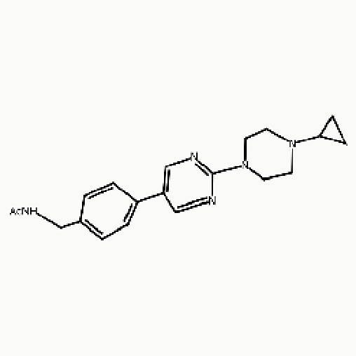 CC(=O)NCc1ccc(-c2cnc(N3CCN(C4CC4)CC3)nc2)cc1